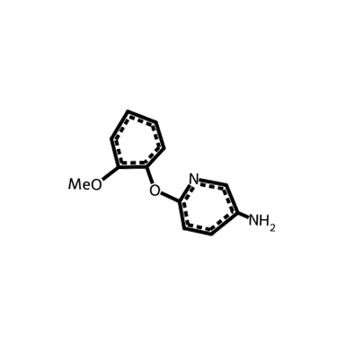 COc1ccccc1Oc1ccc(N)cn1